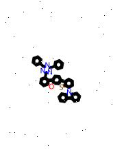 c1ccc(-c2nc(-c3ccccc3)nc(-c3cccc4oc5c(ccc6c7cccc(-n8c9ccccc9c9ccccc98)c7sc65)c34)n2)cc1